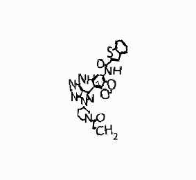 C=CC(=O)N1CCC[C@@H](n2nc(-c3ccc(NC(=O)c4cc5ccccc5s4)c4c3OCO4)c3c(N)ncnc32)C1